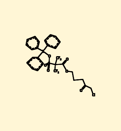 O=C(CCl)CCCOC(=O)C(C(F)(F)F)(C(F)(F)F)S(=O)(=O)OS(c1ccccc1)(c1ccccc1)c1ccccc1